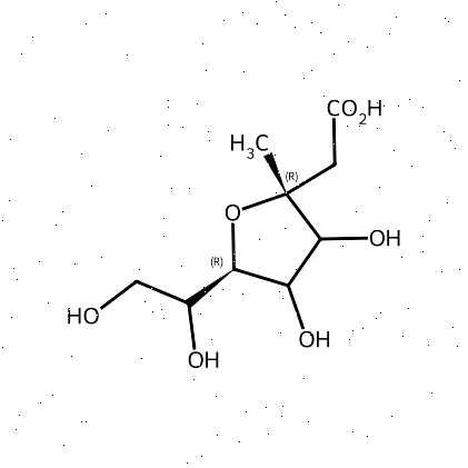 C[C@]1(CC(=O)O)O[C@H](C(O)CO)C(O)C1O